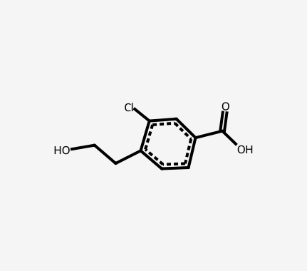 O=C(O)c1ccc(CCO)c(Cl)c1